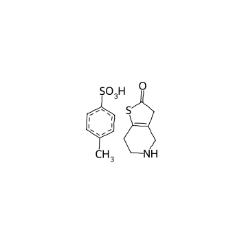 Cc1ccc(S(=O)(=O)O)cc1.O=C1CC2=C(CCNC2)S1